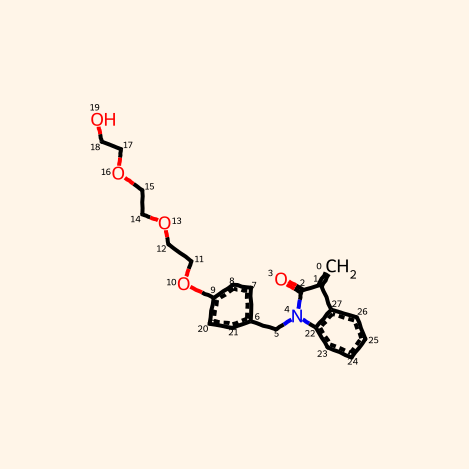 C=C1C(=O)N(Cc2ccc(OCCOCCOCCO)cc2)c2ccccc21